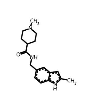 Cc1cc2cc(CNC(=O)C3CCN(C)CC3)ccc2[nH]1